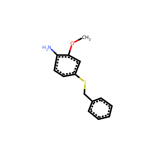 COc1cc(SCc2ccccc2)ccc1N